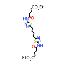 CCOC(=O)CCCC(=O)Nc1nnc(CCCCc2nnc(NC(=O)CCCC(=O)OCC)s2)s1